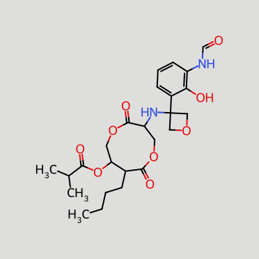 CCCCC1C(=O)OCC(NC2(c3cccc(NC=O)c3O)COC2)C(=O)OCC1OC(=O)C(C)C